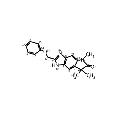 CN1C(=O)C(C)(C)c2cc3[nH]c(COc4ccccc4)nc3cc21